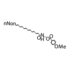 CCCCCCCCCC=CC=CC=CC=CC=CC=CC(=O)NCCOC(=O)c1ccc(OC)cc1